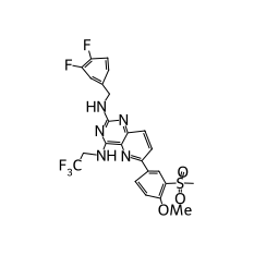 COc1ccc(-c2ccc3nc(NCc4ccc(F)c(F)c4)nc(NCC(F)(F)F)c3n2)cc1S(C)(=O)=O